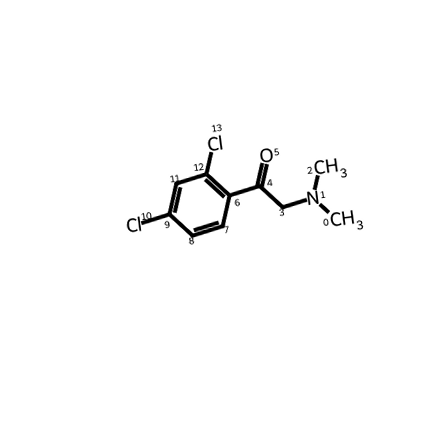 CN(C)CC(=O)c1ccc(Cl)cc1Cl